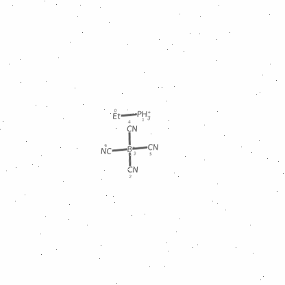 CC[PH3+].N#C[B-](C#N)(C#N)C#N